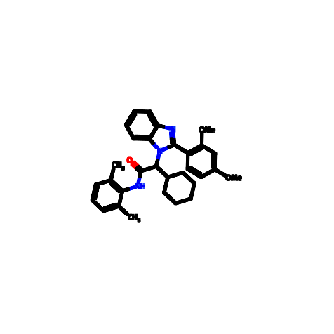 COc1ccc(-c2nc3ccccc3n2C(C(=O)Nc2c(C)cccc2C)C2CCCCC2)c(OC)c1